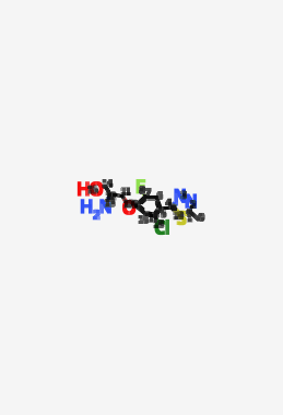 Cc1nnc(-c2cc(F)c(OCC(N)CO)cc2Cl)s1